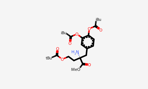 CCC(C)C(=O)Oc1ccc(C[C@](N)(CCOC(=O)C(C)(C)C)C(=O)OC)cc1OC(=O)C(C)CC